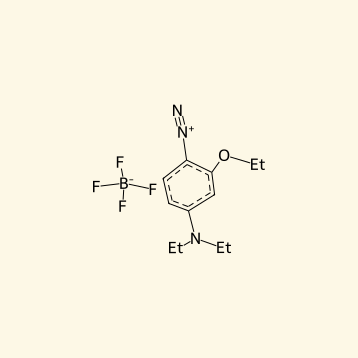 CCOc1cc(N(CC)CC)ccc1[N+]#N.F[B-](F)(F)F